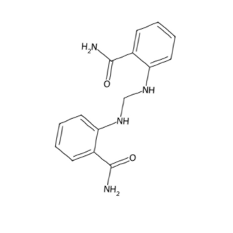 NC(=O)c1ccccc1NCNc1ccccc1C(N)=O